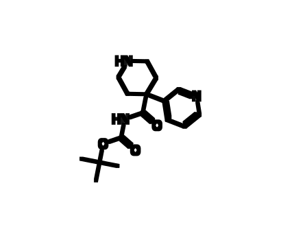 CC(C)(C)OC(=O)NC(=O)C1(c2cccnc2)CCNCC1